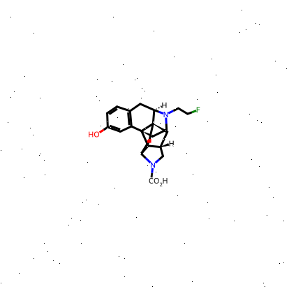 O=C(O)N1C[C@H]2C[C@@]34CCC1C2[C@@]31CCN(CCF)[C@@H]4Cc2ccc(O)cc21